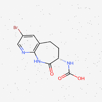 O=C(O)N[C@H]1CCc2cc(Br)cnc2NC1=O